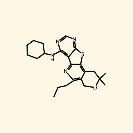 CCCc1nc2c(sc3ncnc(NC4CCCCC4)c32)c2c1COC(C)(C)C2